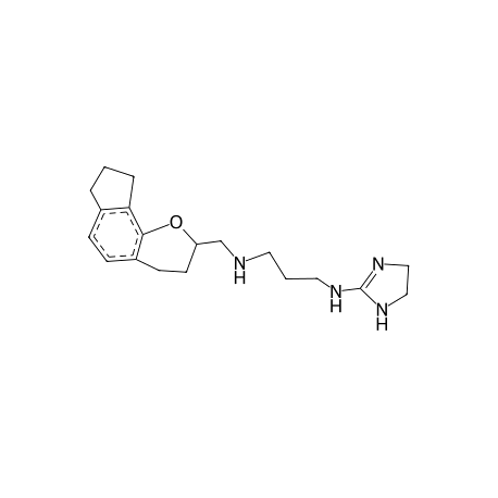 c1cc2c(c3c1CCC3)OC(CNCCCNC1=NCCN1)CC2